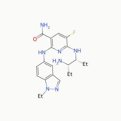 CC[C@H](N)[C@@H](CC)Nc1nc(Nc2ccc3c(cnn3CC)c2)c(C(N)=O)cc1F